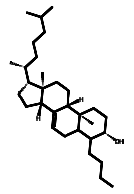 CCCCC1C2CC=C3[C@@H]4CC[C@H]([C@H](C)CCCC(C)C)[C@@]4(C)CC[C@@H]3[C@@]2(C)CC[C@@H]1O